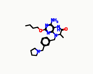 CCCCOc1nc(N)c2c(n1)N(Cc1cccc(CN3CCCC3)c1)C(C)C(=O)N2